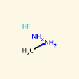 CN.F.N